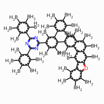 Bc1c(B)c(B)c(-c2nc(-c3c(B)c(B)c(B)c(B)c3B)nc(-c3c(B)c(B)c(-c4c(B)c(B)c5c(B)c(B)c6c(B)c7oc8c(B)c(B)c(B)c(B)c8c7c(B)c6c5c4B)c(-c4c(B)c(B)c(B)c(B)c4B)c3B)n2)c(B)c1B